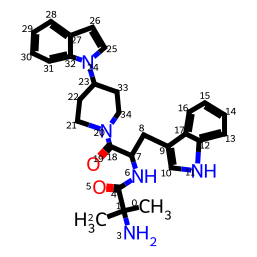 CC(C)(N)C(=O)NC(Cc1c[nH]c2ccccc12)C(=O)N1CCC(n2ccc3ccccc32)CC1